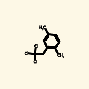 Cc1ccc(C)c(CC(Cl)(Cl)Cl)c1